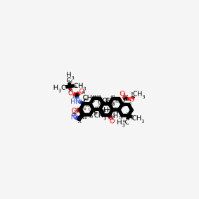 COC(=O)[C@]12CCC(C)(C)C[C@H]1[C@H]1C(=O)C=C3[C@@]4(C)Cc5cnoc5[C@@](C)(NC(=O)OC(C)(C)C)C4CC[C@@]3(C)[C@]1(C)CC2